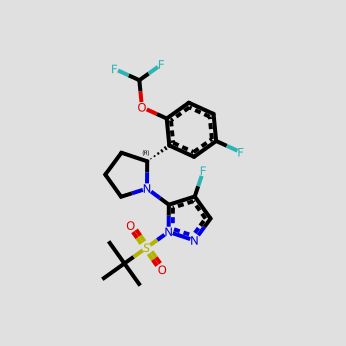 CC(C)(C)S(=O)(=O)n1ncc(F)c1N1CCC[C@@H]1c1cc(F)ccc1OC(F)F